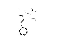 CCC(=O)N(NCC(=O)O)C([C]=O)C(=O)C=Cc1ccccc1